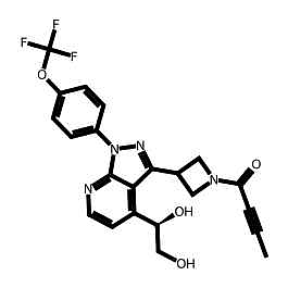 CC#CC(=O)N1CC(c2nn(-c3ccc(OC(F)(F)F)cc3)c3nccc([C@@H](O)CO)c23)C1